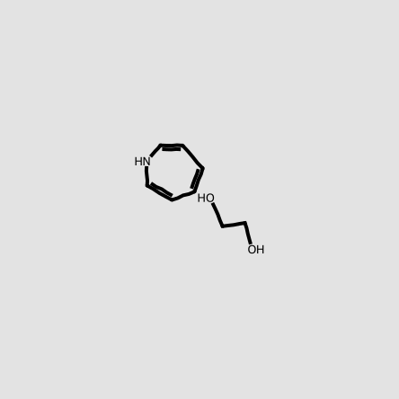 C1=CC=CNC=C1.OCCO